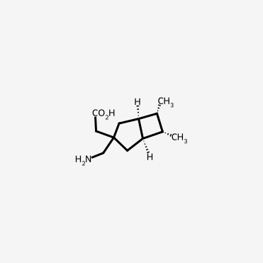 C[C@@H]1[C@H](C)[C@H]2CC(CN)(CC(=O)O)C[C@@H]12